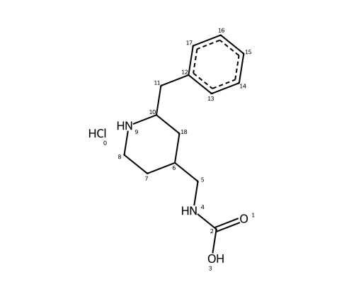 Cl.O=C(O)NCC1CCNC(Cc2ccccc2)C1